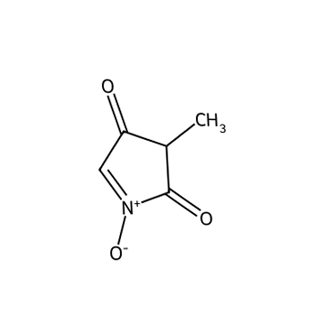 CC1C(=O)C=[N+]([O-])C1=O